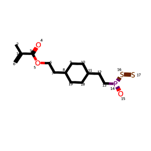 C=C(C)C(=O)OCCC1CCC(CCP(=O)=S=S)CC1